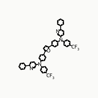 FC(F)(F)c1ccc(N(c2ccc(-c3ccc(-c4ccc(N(c5ccc(C(F)(F)F)cc5)c5ccc(-c6ccccc6)nc5)cc4)o3)cc2)c2ccc(-c3ccccc3)nc2)cc1